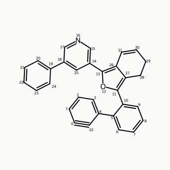 c1cccc(-c2ccccc2-c2oc(-c3cncc(-c4ccccc4)c3)c3c2CCC=C3)c#1